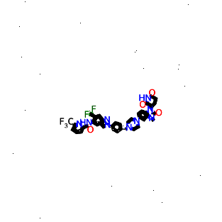 Cn1c(=O)n(C2CCC(=O)NC2=O)c2ccc(N3CCN(C[C@H]4CC[C@H](n5cc6cc(NC(=O)c7cccc(C(F)(F)F)n7)c(C(F)F)cc6n5)CC4)CC3)cc21